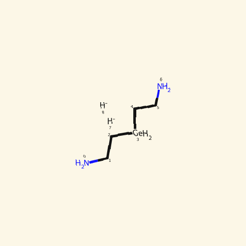 NC[CH2][GeH2][CH2]CN.[H-].[H-]